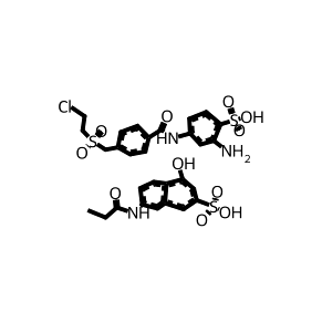 CCC(=O)Nc1ccc2c(O)cc(S(=O)(=O)O)cc2c1.Nc1cc(NC(=O)c2ccc(CS(=O)(=O)CCCl)cc2)ccc1S(=O)(=O)O